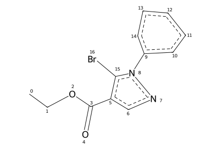 CCOC(=O)c1cnn(-c2ccccc2)c1Br